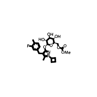 COC(=O)OC[C@H]1O[C@@H](Oc2nn(C3CCC3)c(C)c2Cc2ccc(C)c(F)c2)[C@H](O)[C@@H](O)[C@@H]1O